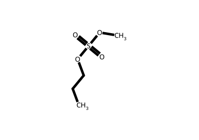 CCCOS(=O)(=O)OC